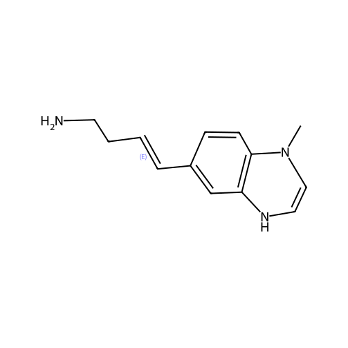 CN1C=CNc2cc(/C=C/CCN)ccc21